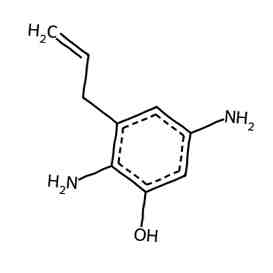 C=CCc1cc(N)cc(O)c1N